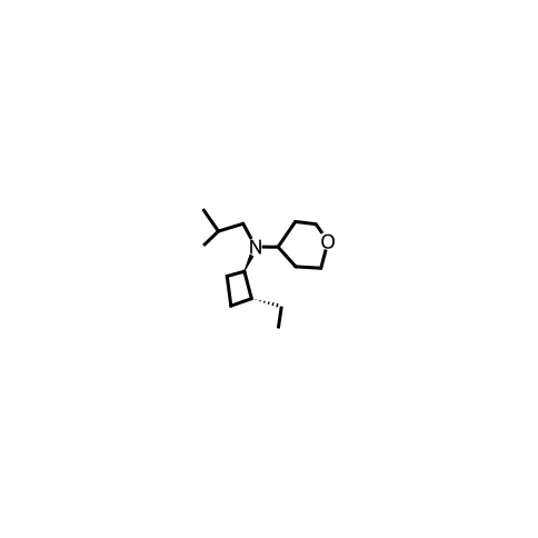 CC[C@@H]1CC[C@H]1N(CC(C)C)C1CCOCC1